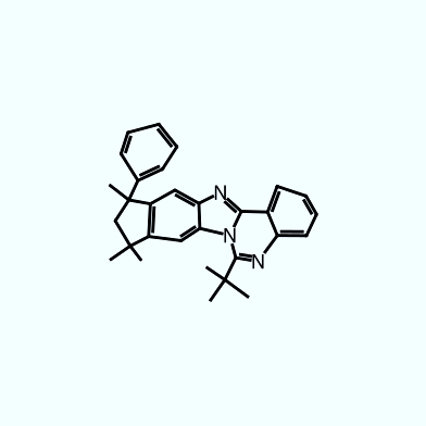 CC(C)(C)c1nc2ccccc2c2nc3cc4c(cc3n12)C(C)(C)CC4(C)c1ccccc1